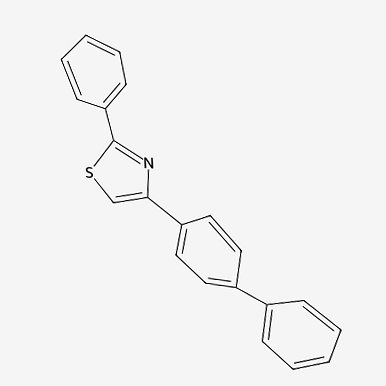 c1ccc(-c2ccc(-c3csc(-c4ccccc4)n3)cc2)cc1